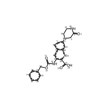 O=C1CN(c2ccc3cc(NC(=O)OCc4ccccc4)c(C(=O)O)nc3c2)CCN1